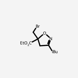 CCOC(=O)C1(CBr)CC(C(C)CC)=NO1